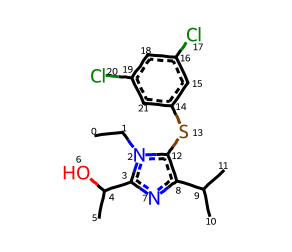 CCn1c(C(C)O)nc(C(C)C)c1Sc1cc(Cl)cc(Cl)c1